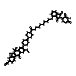 CCc1cc2c(cc1N1CCC(N3CCN(C(=O)CCCCCCCCOc4cccc5c4C(=O)N(C4CCC(=O)NC4=O)C5=O)CC3)CC1)C(C)(C)c1[nH]c3cc(C#N)ccc3c1C2=O